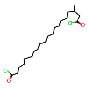 CC(CCCCCCCCCCCCCCCCC(=O)Cl)CC(=O)Cl